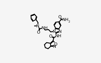 CN(Cc1ccccc1)C(=O)NCCCn1c(NC(=O)c2onc3c2CCCC3)nc2cc(C(N)=O)ccc21